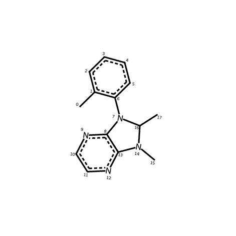 Cc1ccccc1N1c2nccnc2N(C)C1C